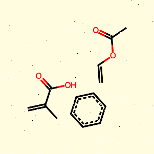 C=C(C)C(=O)O.C=COC(C)=O.c1ccccc1